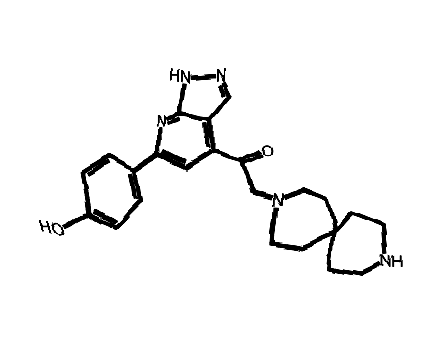 O=C(CN1CCC2(CCNCC2)CC1)c1cc(-c2ccc(O)cc2)nc2[nH]ncc12